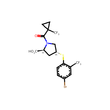 O=C(O)[C@@H]1C[C@@H](Sc2ccc(Br)cc2C(F)(F)F)CN1C(=O)C1(C(F)(F)F)CC1